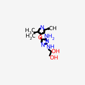 C#Cc1cc(Oc2cnc(NCC(O)CO)nc2N)c(C(=C)C)cn1